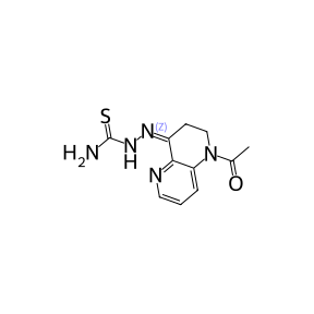 CC(=O)N1CC/C(=N/NC(N)=S)c2ncccc21